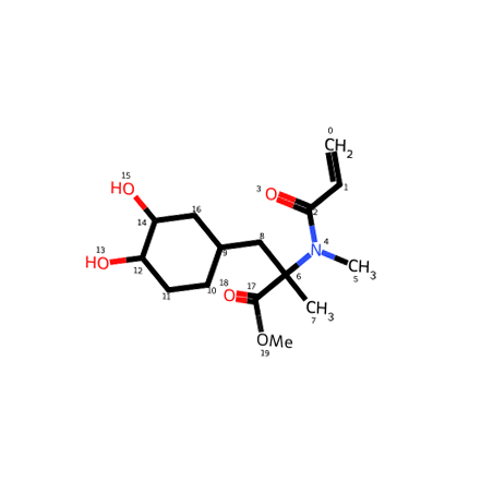 C=CC(=O)N(C)C(C)(CC1CCC(O)C(O)C1)C(=O)OC